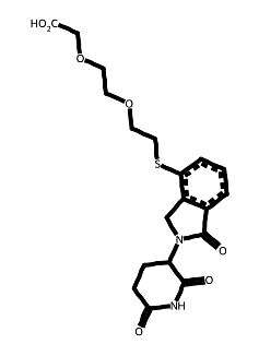 O=C(O)COCCOCCSc1cccc2c1CN(C1CCC(=O)NC1=O)C2=O